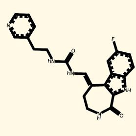 O=C(N/C=C1\CCNC(=O)c2[nH]c3ccc(F)cc3c21)NCCc1cccnc1